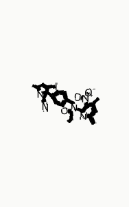 CCC(=O)N(Cc1ccc(C2(C#N)N=C(C)C=C2I)cc1)c1nc(C)cc(C)c1[N+](=O)[O-]